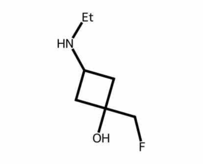 CCNC1CC(O)(CF)C1